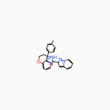 Cc1ccc([C@@]2(NC(=O)c3cc4ccccn4n3)CCOc3cccnc32)cc1